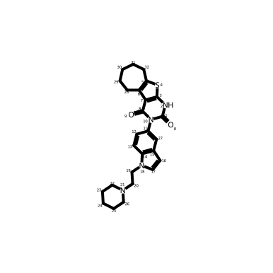 O=c1[nH]c2sc3c(c2c(=O)n1-c1ccc2c(ccn2CCN2CCCCC2)c1)CCCCC3